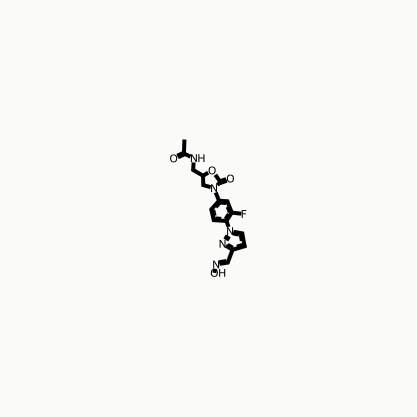 CC(=O)NCC1CN(c2ccc(-n3ccc(C=NO)n3)c(F)c2)C(=O)O1